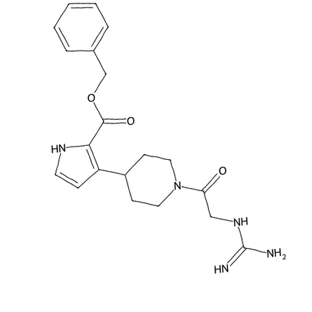 N=C(N)NCC(=O)N1CCC(c2cc[nH]c2C(=O)OCc2ccccc2)CC1